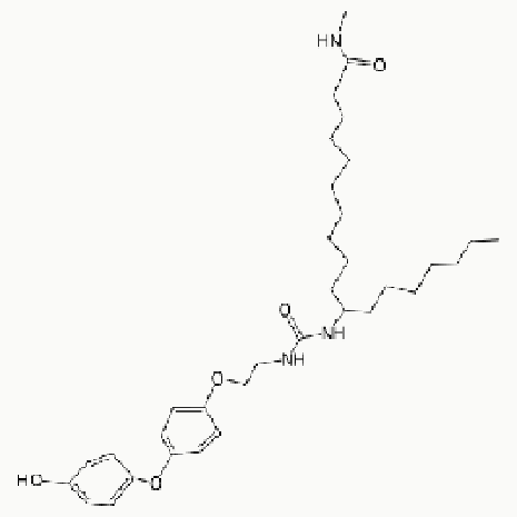 CCCCCCCC(CCCCCCCCCC(=O)NC)NC(=O)NCCOc1ccc(Oc2ccc(O)cc2)cc1